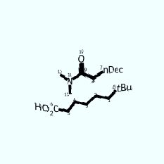 CC(C)(C)CCCCCC(=O)O.CCCCCCCCCCCC(=O)N(C)C